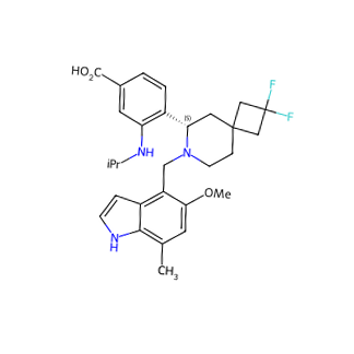 COc1cc(C)c2[nH]ccc2c1CN1CCC2(C[C@H]1c1ccc(C(=O)O)cc1NC(C)C)CC(F)(F)C2